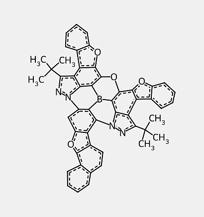 CC(C)(C)c1nn2c3c4c(c5oc6ccccc6c5c13)Oc1c3c5c(c(C(C)(C)C)nn5-c5c(c-2cc2oc6c7ccccc7ccc6c52)B43)c2c1oc1ccccc12